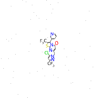 O=c1cc(Cn2nc(C(F)(F)F)cc2Cl)nc2sc(C(F)(F)F)c(-c3cccnc3)n12